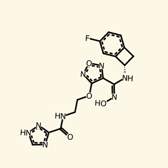 O=C(NCCOc1nonc1/C(=N\O)N[C@H]1Cc2ccc(F)cc21)c1nc[nH]n1